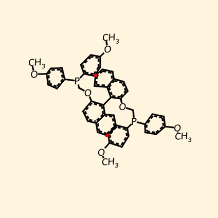 COc1ccc(P(COc2ccc3ccccc3c2-c2c(OCP(c3ccc(OC)cc3)c3ccc(OC)cc3)ccc3ccccc23)c2ccc(OC)cc2)cc1